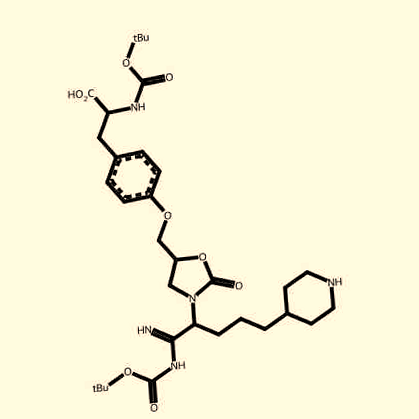 CC(C)(C)OC(=O)NC(=N)C(CCCC1CCNCC1)N1CC(COc2ccc(CC(NC(=O)OC(C)(C)C)C(=O)O)cc2)OC1=O